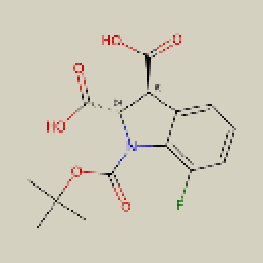 CC(C)(C)OC(=O)N1c2c(F)cccc2[C@H](C(=O)O)[C@H]1C(=O)O